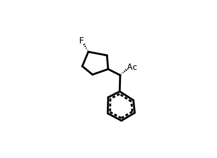 CC(=O)[C@H](c1ccccc1)C1CC[C@H](F)C1